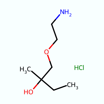 CCC(C)(O)COCCN.Cl